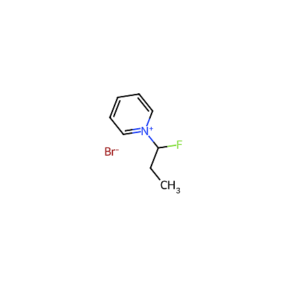 CCC(F)[n+]1ccccc1.[Br-]